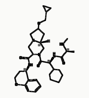 CN[C@@H](C)C(=O)N[C@H](C(=O)N1C[C@H]2CC(OCC3CC3)CN2CC1C(=O)N[C@@H]1CCOc2ccccc21)C1CCCCC1